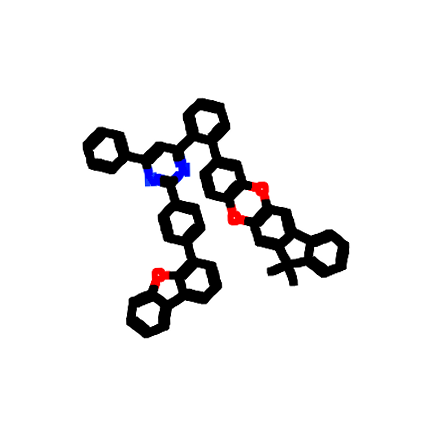 CC1(C)c2ccccc2-c2cc3c(cc21)Oc1ccc(-c2ccccc2-c2cc(-c4ccccc4)nc(-c4ccc(-c5cccc6c5oc5ccccc56)cc4)n2)cc1O3